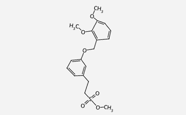 COc1cccc(COc2cccc(CCS(=O)(=O)OC)c2)c1OC